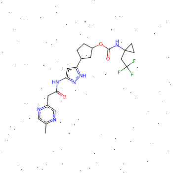 Cc1cnc(CC(=O)Nc2cc(C3CCC(OC(=O)NC4(CC(F)(F)F)CC4)C3)[nH]n2)cn1